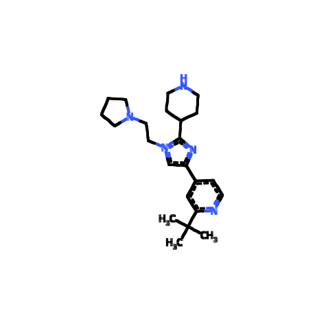 CC(C)(C)c1cc(-c2cn(CCN3CCCC3)c(C3CCNCC3)n2)ccn1